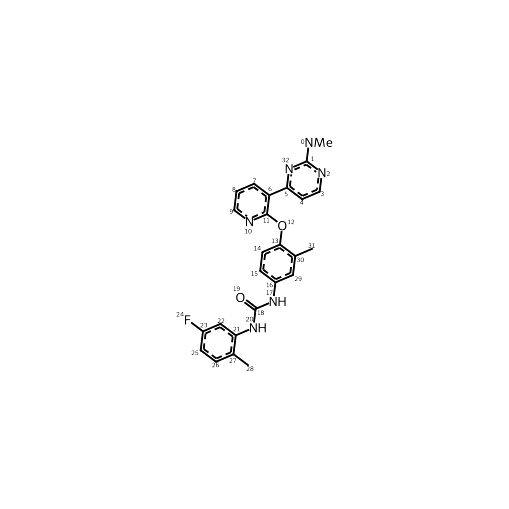 CNc1nccc(-c2cccnc2Oc2ccc(NC(=O)Nc3cc(F)ccc3C)cc2C)n1